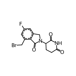 O=C1CCC(N2Cc3cc(F)cc(CBr)c3C2=O)C(=O)N1